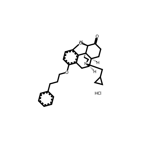 Cl.O=C1CC[C@H]2[C@H]3Cc4c(OCCCc5ccccc5)ccc5c4[C@@]2(CCN3CC2CC2)[C@H]1O5